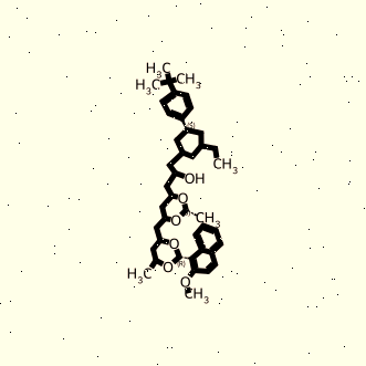 CCC1CC(CC(O)CC2CC(CC3CC(C)O[C@@H](c4c(OC)ccc5ccccc45)O3)O[C@@H](C)O2)C[C@@H](c2ccc(C(C)(C)C)cc2)C1